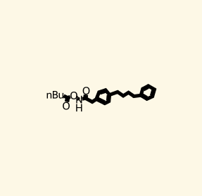 CCCCC(=O)ONC(=O)Cc1ccc(CCCCc2ccccc2)cc1